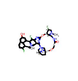 C#Cc1c(F)ccc2cc(O)cc(-c3ncc4c5nc(nc4c3F)OC[C@]3(CNC(=O)CCOC[C@@]46CC[C@@H](CN5C4)N6)C[C@@H](F)CN3C)c12